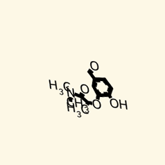 CC(Oc1cc(C=O)ccc1O)C(=O)N(C)C